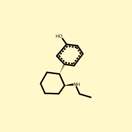 CCN[C@H]1CCCC[C@@H]1c1cccc(O)c1